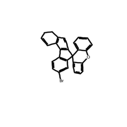 Brc1ccc2c(c1)C1(c3ccccc3Oc3ccccc31)c1ccc3c(c1-2)C=CCC3